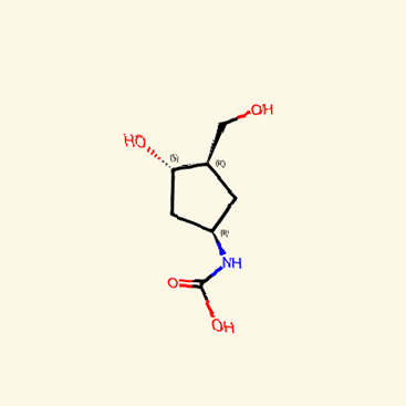 O=C(O)N[C@@H]1C[C@H](CO)[C@@H](O)C1